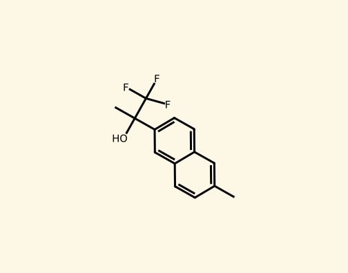 Cc1ccc2cc(C(C)(O)C(F)(F)F)ccc2c1